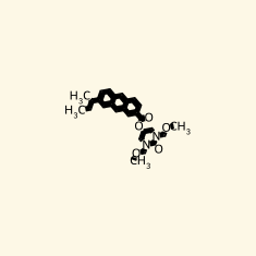 CCC(C)c1ccc2cc3ccc(C(=O)OC4CN(COC)C(=O)N(COC)C4)cc3cc2c1